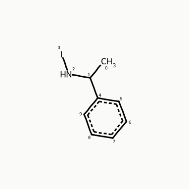 CC(NI)c1ccccc1